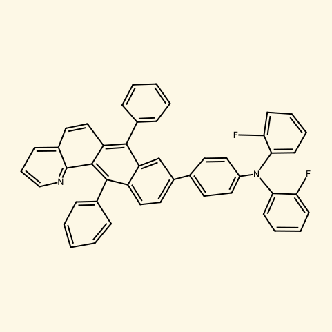 Fc1ccccc1N(c1ccc(-c2ccc3c(-c4ccccc4)c4c(ccc5cccnc54)c(-c4ccccc4)c3c2)cc1)c1ccccc1F